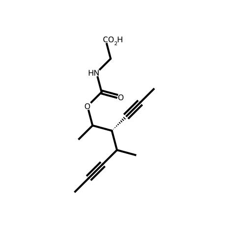 CC#CC(C)[C@@H](C#CC)C(C)OC(=O)NCC(=O)O